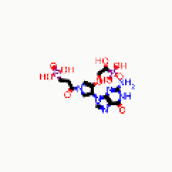 Nc1nc2c(ncn2C2CN(C(=O)CCP(=O)(O)O)C=C2OCC(O)P(=O)(O)O)c(=O)[nH]1